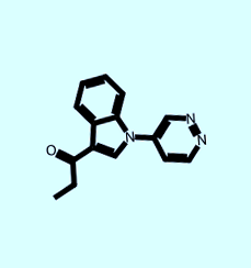 CCC(=O)c1cn(-c2ccnnc2)c2ccccc12